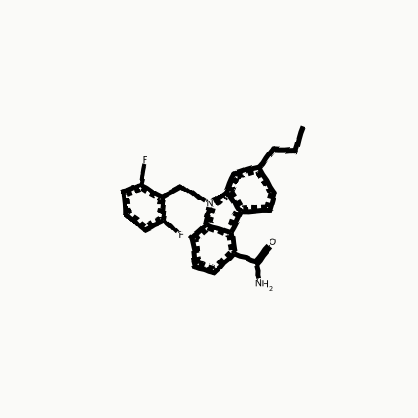 CCCc1c[c]c2c3c(C(N)=O)cccc3n(Cc3c(F)cccc3F)c2c1